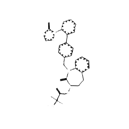 CC(C)(N)C(=O)N[C@@H]1CCc2ccccc2N(Cc2ccc(-c3ccccc3-n3nc[nH]c3=O)cc2)C1=O